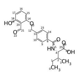 CCC(C)[C@H](NC(=O)c1ccc(COc2cccc(O)c2C=O)cc1)C(=O)O